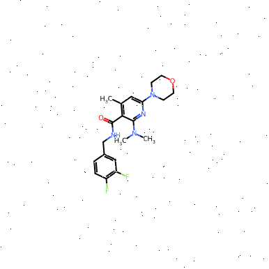 Cc1cc(N2CCOCC2)nc(N(C)C)c1C(=O)NCc1ccc(F)c(F)c1